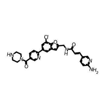 Nc1ccc(/C=C/C(=O)NCc2cc3cc(-c4ccc(C(=O)N5CCNCC5)cn4)cc(Cl)c3o2)cn1